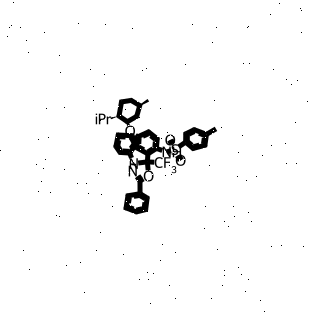 Cc1ccc(S(=O)(=O)Nc2ccc(O[C@@H]3C[C@H](C)CC[C@H]3C(C)C)cc2C2(C(F)(F)F)OC(c3ccccc3)=NN2c2ccccc2)cc1